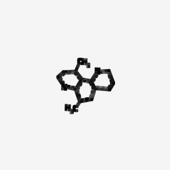 Cc1cc2cccnc2c2c(C)ccnc12